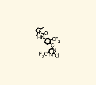 CC1CCC(C)N1C(=O)Nc1ccc(Oc2cc(C(F)(F)F)nc(Cl)n2)c(C(F)(F)F)c1